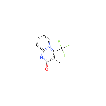 Cc1c(C(F)(F)F)n2ccccc2nc1=O